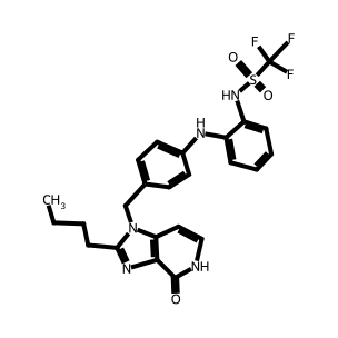 CCCCc1nc2c(=O)[nH]ccc2n1Cc1ccc(Nc2ccccc2NS(=O)(=O)C(F)(F)F)cc1